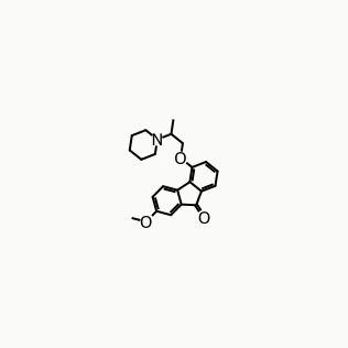 COc1ccc2c(c1)C(=O)c1cccc(OCC(C)N3CCCCC3)c1-2